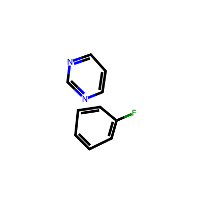 Fc1ccccc1.c1cncnc1